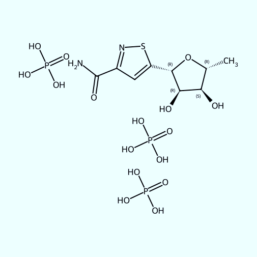 C[C@H]1O[C@@H](c2cc(C(N)=O)ns2)[C@H](O)[C@@H]1O.O=P(O)(O)O.O=P(O)(O)O.O=P(O)(O)O